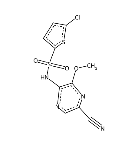 COc1nc(C#N)cnc1NS(=O)(=O)c1ccc(Cl)s1